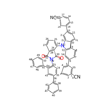 N#Cc1cccc(-c2ccc3c4ccc(-c5cccc(C#N)c5)cc4n(-c4cccc5c4C(=O)N(c4ccc(-c6ccccc6)cc4-c4ccccc4)C5=O)c3c2)c1